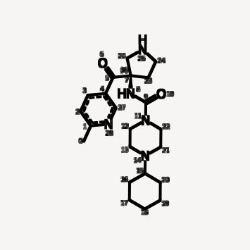 Cc1ccc(C(=O)[C@@]2(NC(=O)N3CCN(C4CCCCC4)CC3)CCNC2)cn1